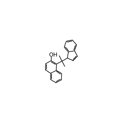 CC(C)(c1c(O)ccc2ccccc12)C1C=Cc2ccccc21